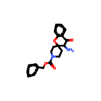 NC1C(=O)c2ccccc2OC12CCN(C(=O)OCc1ccccc1)CC2